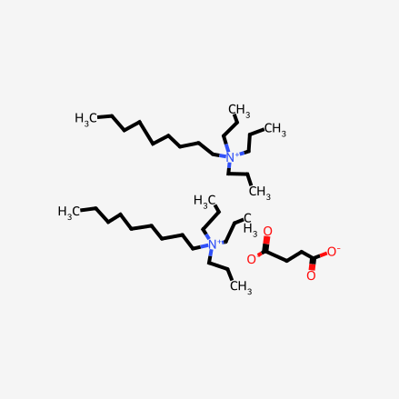 CCCCCCCCC[N+](CCC)(CCC)CCC.CCCCCCCCC[N+](CCC)(CCC)CCC.O=C([O-])CCC(=O)[O-]